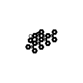 c1ccc(N(c2ccccc2)c2ccc3c(c2)N(c2ccccc2)c2cc4c5c6c2B3c2cccc3c7cc8oc9ccccc9c8c(c7n-6c23)B5c2ccc(N(c3ccccc3)c3ccccc3)cc2N4c2ccccc2)cc1